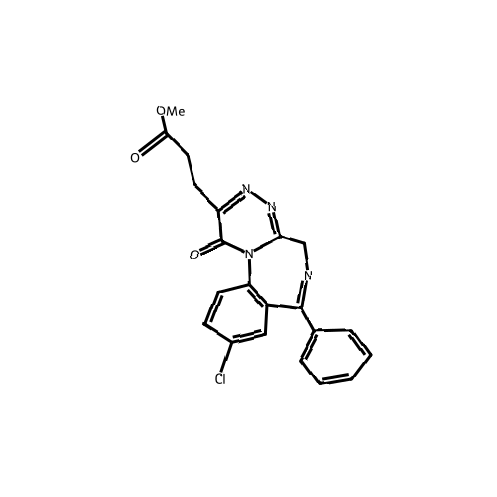 COC(=O)CCc1nnc2n(c1=O)-c1ccc(Cl)cc1C(c1ccccc1)=NC2